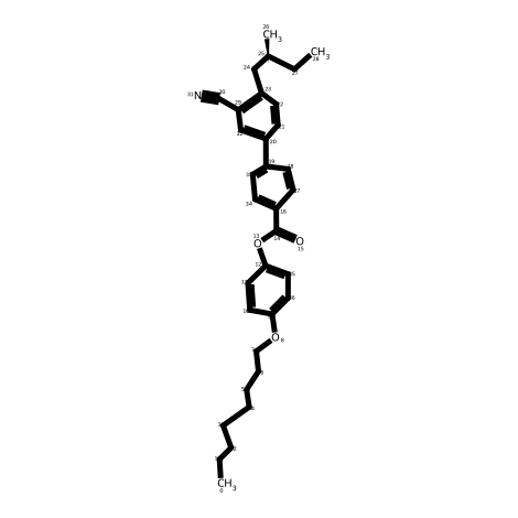 CCCCCCCCOc1ccc(OC(=O)c2ccc(-c3ccc(C[C@@H](C)CC)c(C#N)c3)cc2)cc1